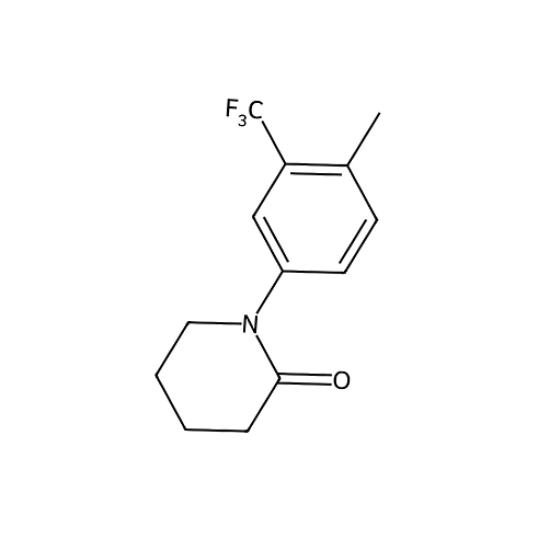 Cc1ccc(N2CCCCC2=O)cc1C(F)(F)F